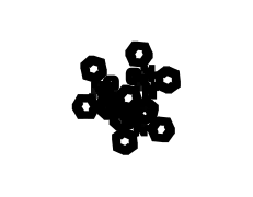 O=P1(c2cc(P3(=O)N(c4ccccc4)c4ccccc4N3c3ccccc3)cc(P3(=O)N(c4ccccc4)c4ccccc4N3c3ccccc3)c2)N(c2ccccc2)c2ccccc2N1c1ccccc1